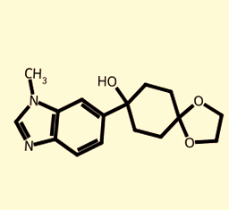 Cn1cnc2ccc(C3(O)CCC4(CC3)OCCO4)cc21